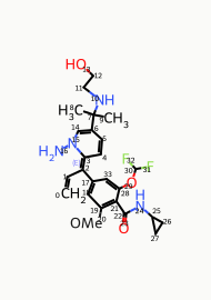 C=C/C(=C1/C=CC(C(C)(C)NCCO)=CN1N)c1cc(OC)c(C(=O)NC2CC2)c(OC(F)F)c1